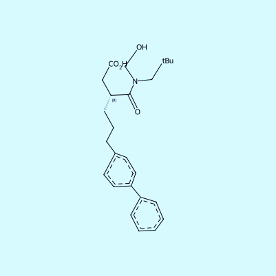 CC(C)(C)CN(CO)C(=O)[C@H](CCCc1ccc(-c2ccccc2)cc1)CC(=O)O